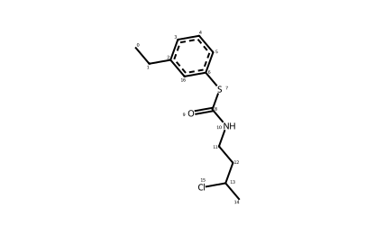 CCc1cccc(SC(=O)NCCC(C)Cl)c1